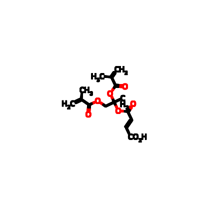 C=C(C)C(=O)OCC(C)(OC(=O)C=CC(=O)O)OC(=O)C(=C)C